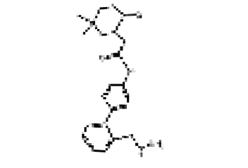 CC1(C)CCC(=O)C(CC(=O)Nc2ccc(-c3ccccc3CNN)cc2)C1